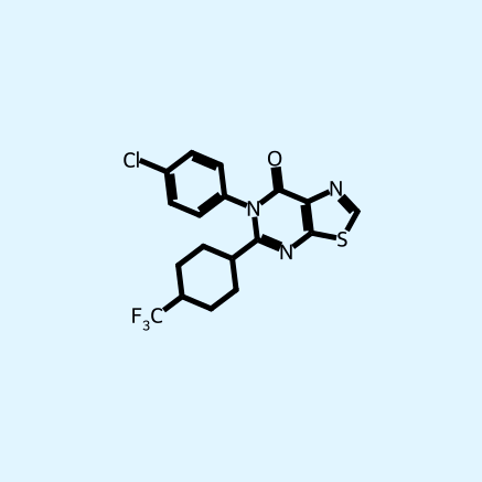 O=c1c2ncsc2nc(C2CCC(C(F)(F)F)CC2)n1-c1ccc(Cl)cc1